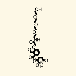 CN(C(=O)c1cccc(OCC(=O)NCCOCCOCCOCCO)c1C=O)C1CCC(=O)NC1=O